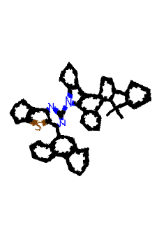 CC1(C)c2ccccc2-c2ccc3c(c21)c1ccccc1c1c3c2ccccc2n1-c1nc(-c2cc3ccccc3c3ccccc23)c2sc3ccccc3c2n1